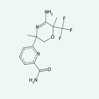 CC1(c2cccc(C(N)=O)n2)COC(C)(C(F)(F)F)C(N)=N1